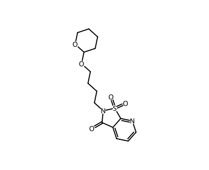 O=C1c2cccnc2S(=O)(=O)N1CCCCOC1CCCCO1